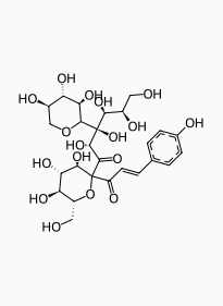 O=C(/C=C/c1ccc(O)cc1)C1(C(=O)[C@H](O)[C@](O)(C2OC[C@@H](O)[C@H](O)[C@H]2O)[C@@H](O)[C@H](O)CO)O[C@H](CO)[C@@H](O)[C@H](O)[C@H]1O